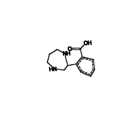 O=C(O)c1ccccc1C1CNCCCN1